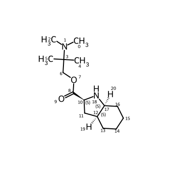 CN(C)C(C)(C)COC(=O)[C@@H]1C[C@@H]2CCCC[C@@H]2N1